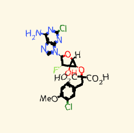 COc1ccc(CC(O[C@H]2[C@H]3O[C@@H](n4cnc5c(N)nc(Cl)nc54)[C@@H](F)[C@]32O)(C(=O)O)C(=O)O)cc1Cl